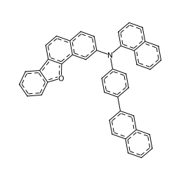 c1ccc2cc(-c3ccc(N(c4ccc5ccc6c7ccccc7oc6c5c4)c4cccc5ccccc45)cc3)ccc2c1